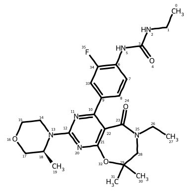 CCNC(=O)Nc1ccc(-c2nc(N3CCOC[C@@H]3C)nc3c2C(=O)N(CC)CC(C)(C)O3)cc1F